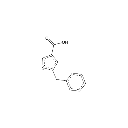 O=C(O)c1csc(Cc2ccccc2)c1